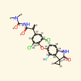 C=C(C(=O)NC(=O)N(C)C)c1cc(Cl)c(Oc2ccc3c(c2F)C2(CC2)C(=O)N3)c(Cl)c1